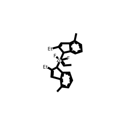 C[CH]=[Zr]([F])([F])([CH]1C(CC)=Cc2c(C)cccc21)[CH]1C(CC)=Cc2c(C)cccc21